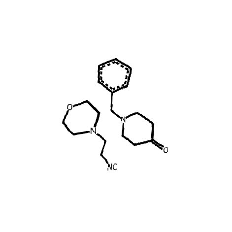 O=C1CCN(Cc2ccccc2)CC1.[C-]#[N+]CCN1CCOCC1